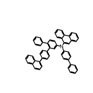 c1ccc(-c2ccc(N(c3ccc(-c4ccccc4)c(-c4ccc(-c5cccc6ccccc56)cc4)c3)c3cc4ccccc4c4ccccc34)cc2)cc1